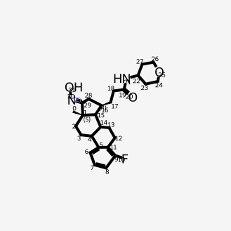 C[C@]12CCC3c4cccc(F)c4CCC3C1[C@H](CCC(=O)NC1CCOCC1)C/C2=N\O